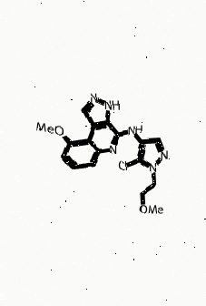 COCCn1ncc(Nc2nc3cccc(OC)c3c3cn[nH]c23)c1Cl